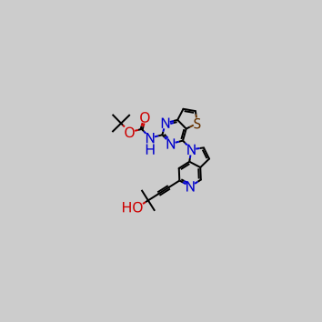 CC(C)(O)C#Cc1cc2c(ccn2-c2nc(NC(=O)OC(C)(C)C)nc3ccsc23)cn1